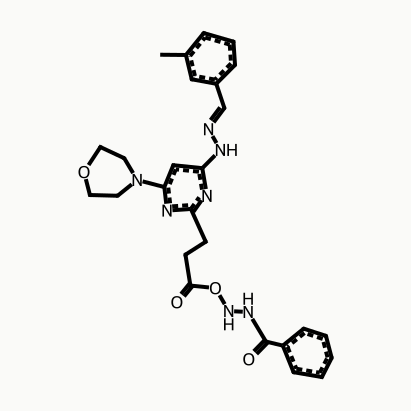 Cc1cccc(C=NNc2cc(N3CCOCC3)nc(CCC(=O)ONNC(=O)c3ccccc3)n2)c1